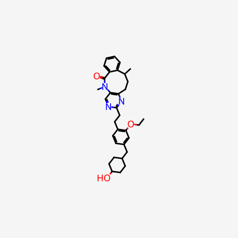 CCOc1cc(CC2CCC(O)CC2)ccc1CCc1ncc2c(n1)CCC(C)c1ccccc1C(=O)N2C